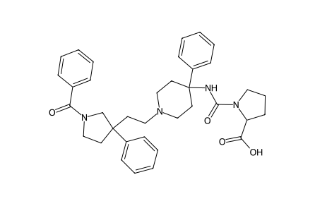 O=C(O)C1CCCN1C(=O)NC1(c2ccccc2)CCN(CCC2(c3ccccc3)CCN(C(=O)c3ccccc3)C2)CC1